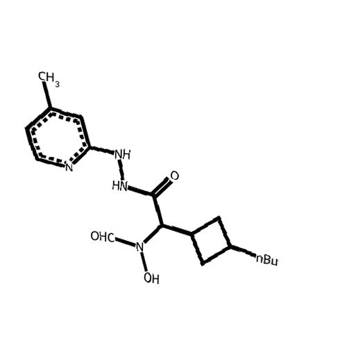 CCCCC1CC(C(C(=O)NNc2cc(C)ccn2)N(O)C=O)C1